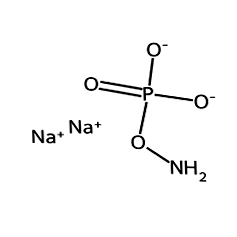 NOP(=O)([O-])[O-].[Na+].[Na+]